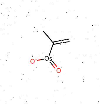 C=[C](C)[Os](=[O])[O-]